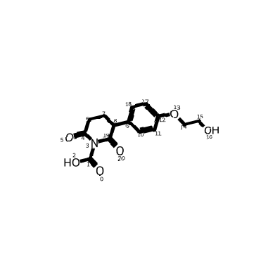 O=C(O)N1C(=O)CCC(c2ccc(OCCO)cc2)C1=O